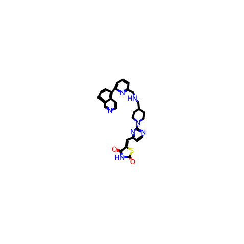 O=C1NC(=O)/C(=C/c2ccnc(N3CCC(CNCc4cccc(-c5cccc6cnccc56)n4)CC3)n2)S1